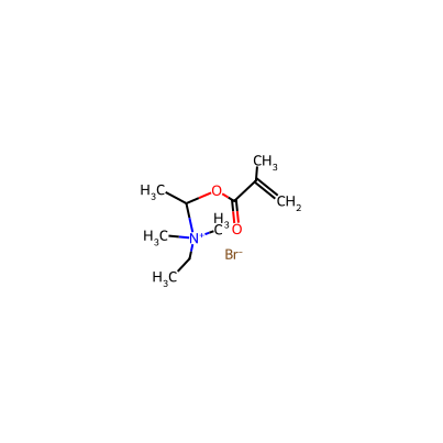 C=C(C)C(=O)OC(C)[N+](C)(C)CC.[Br-]